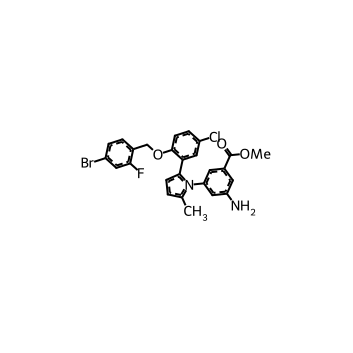 COC(=O)c1cc(N)cc(-n2c(C)ccc2-c2cc(Cl)ccc2OCc2ccc(Br)cc2F)c1